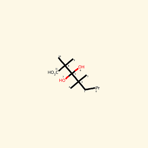 CC(C)CC(C)(C)C(O)(O)C(C)(C)C(=O)O